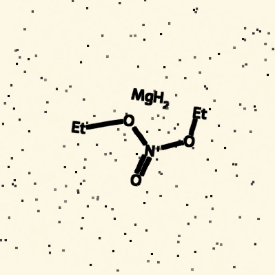 CCO[N+](=O)OCC.[MgH2]